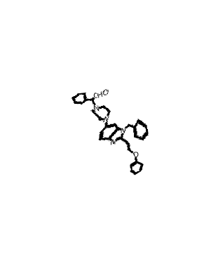 O=CC(c1ccccc1)N1CCN(c2ccc3nc(CCOc4ccccc4)n(Cc4ccccc4)c3c2)CC1